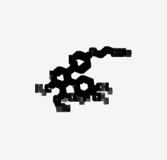 COCCOc1ccc(-c2cnc(C)c([C@H](OC(C)(C)C)C(=O)O)c2N2CCC(C)(C)CC2)nc1